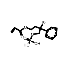 C=CC(=O)OCCC(Br)(COP(=O)(O)O)c1ccccc1